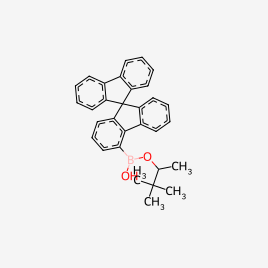 CC(OB(O)c1cccc2c1-c1ccccc1C21c2ccccc2-c2ccccc21)C(C)(C)C